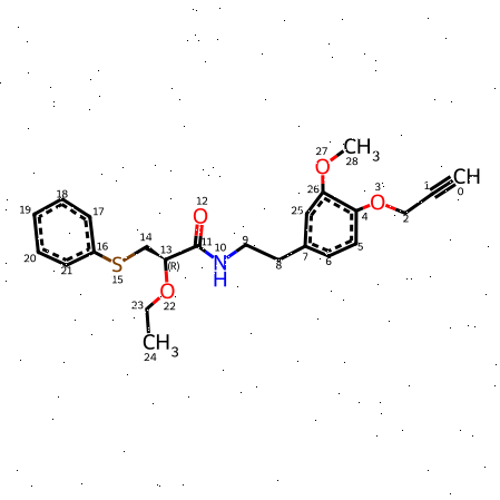 C#CCOc1ccc(CCNC(=O)[C@H](CSc2ccccc2)OCC)cc1OC